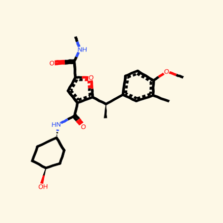 CNC(=O)c1cc(C(=O)N[C@H]2CC[C@H](O)CC2)c([C@H](C)c2ccc(OC)c(C)c2)o1